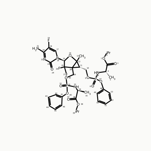 CC(C)OC(=O)[C@H](C)NP(=O)(OC[C@H]1C2(C)O[C@H](n3cc(F)c(N)nc3=O)C(F)(F)C12COP(=O)(N[C@@H](C)C(=O)OC(C)C)Oc1ccccc1)Oc1ccccc1